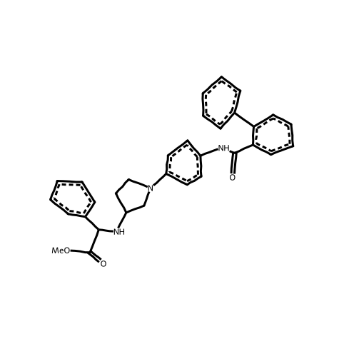 COC(=O)C(NC1CCN(c2ccc(NC(=O)c3ccccc3-c3ccccc3)cc2)C1)c1ccccc1